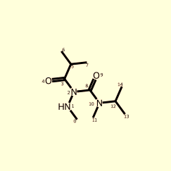 CNN(C(=O)C(C)C)C(=O)N(C)C(C)C